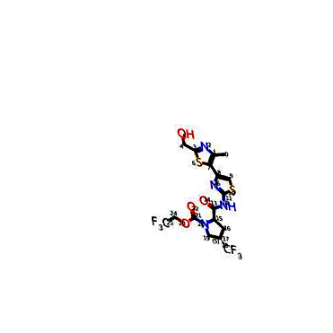 Cc1nc(CO)sc1-c1csc(NC(=O)C2C[C@H](C(F)(F)F)CN2C(=O)OCC(F)(F)F)n1